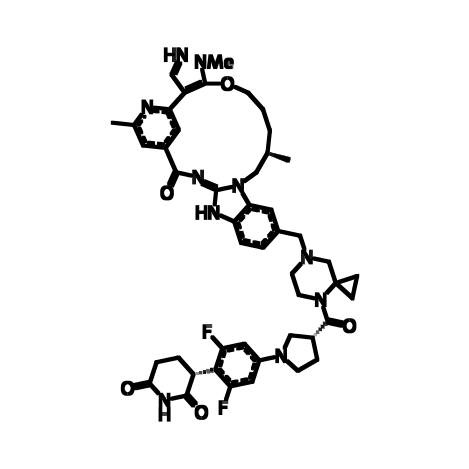 CN/C1=C(\C=N)c2cc(cc(C)n2)C(=O)/N=C2\Nc3ccc(CN4CCN(C(=O)[C@@H]5CCN(c6cc(F)c([C@H]7CCC(=O)NC7=O)c(F)c6)C5)C5(CC5)C4)cc3N2C[C@H](C)CCCO1